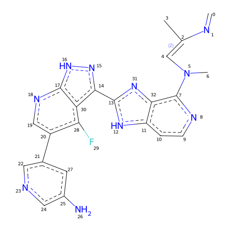 C=N/C(C)=C\N(C)c1nccc2[nH]c(-c3n[nH]c4ncc(-c5cncc(N)c5)c(F)c34)nc12